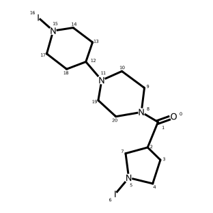 O=C(C1CCN(I)C1)N1CCN(C2CCN(I)CC2)CC1